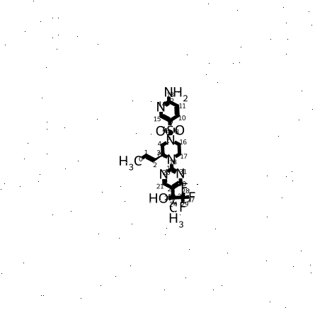 CC=C[C@H]1CN(S(=O)(=O)c2ccc(N)nc2)CCN1c1ncc([C@](C)(O)C(F)(F)F)cn1